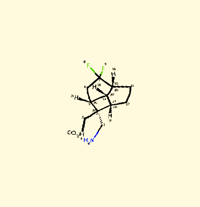 NC[C@]1(CC(=O)O)[C@@H]2CC(F)(F)[C@@H]3CC[C@H]1[C@@H]32